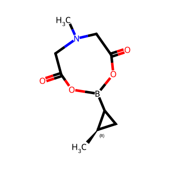 C[C@@H]1CC1B1OC(=O)CN(C)CC(=O)O1